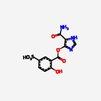 NC(=O)c1[nH]cnc1OC(=O)c1cc(S(=O)(=O)O)ccc1O